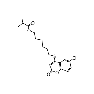 CC(C)C(=O)OCCCCCCSc1cc(=O)oc2ccc(Cl)cc12